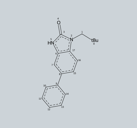 CC(C)(C)Cn1c(=O)[nH]c2cc(-c3ccccc3)ccc21